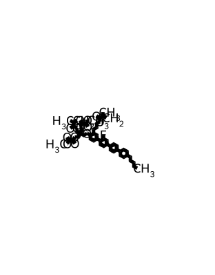 C=C(C)C(=O)OCCCc1cc(-c2ccc(-c3ccc(C4CCC(CCCCC)CC4)cc3)cc2F)ccc1OCC(COC(=O)C(=C)C)(COC(=O)C(=O)OC)COC(=O)C(=O)OC